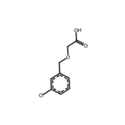 O=C(O)[CH]OCc1cccc(Cl)c1